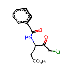 O=C(O)CC(NC(=O)c1ccccc1)C(=O)CCl